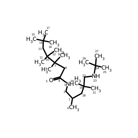 CC(CNC(=O)CC(C)(C)C(C)(C)CC(C)(C)C)CC(C)(C)CNC(C)(C)C